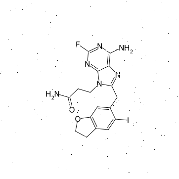 NC(=O)CCn1c(Cc2cc3c(cc2I)CCO3)nc2c(N)nc(F)nc21